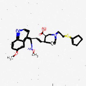 CON[C@H](CC[C@@H]1CCN(CCSC2CCCC2)C[C@@H]1C(=O)O)c1ccnc2ccc(OC)cc12